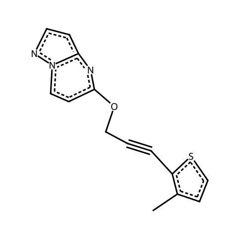 Cc1ccsc1C#CCOc1ccn2nccc2n1